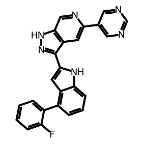 Fc1ccccc1-c1cccc2[nH]c(-c3n[nH]c4cnc(-c5cncnc5)cc34)cc12